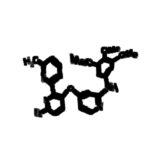 CCc1ccc(Oc2ccnc(Nc3cc(OC)c(OC)c(OC)c3)c2)c(-c2cccc(C)n2)n1